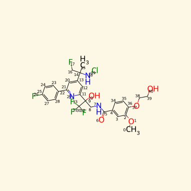 COc1cc(C(=O)NCC(O)(c2cc(C(C)(CF)NCl)cc(-c3ccc(F)cc3)n2)C(F)(F)F)ccc1OCCO